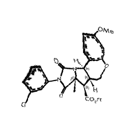 CCOC(=O)[C@@H]1[C@H]2COc3cc(OC)ccc3[C@@H]2N2C(=O)N(c3cccc(Cl)c3)C(=O)[C@@]12C